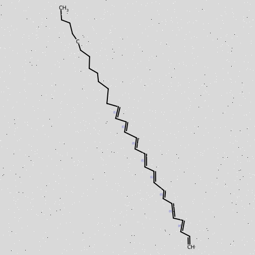 [CH]=C/C=C/C=C/C=C/C=C/C=C/C=C/C=C/C=C/CCCCCCCCCCCC